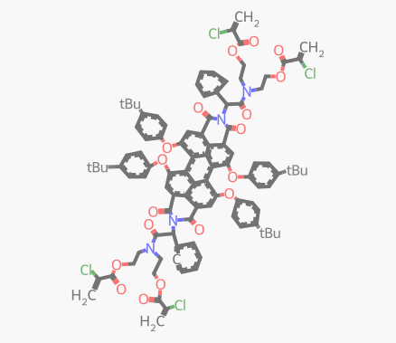 C=C(Cl)C(=O)OCCN(CCOC(=O)C(=C)Cl)C(=O)C(c1ccccc1)N1C(=O)c2cc(Oc3ccc(C(C)(C)C)cc3)c3c4c(Oc5ccc(C(C)(C)C)cc5)cc5c6c(cc(Oc7ccc(C(C)(C)C)cc7)c(c7c(Oc8ccc(C(C)(C)C)cc8)cc(c2c37)C1=O)c64)C(=O)N(C(C(=O)N(CCOC(=O)C(=C)Cl)CCOC(=O)C(=C)Cl)c1ccccc1)C5=O